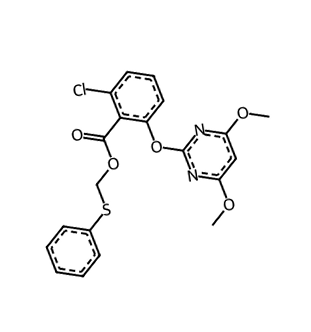 COc1cc(OC)nc(Oc2cccc(Cl)c2C(=O)OCSc2ccccc2)n1